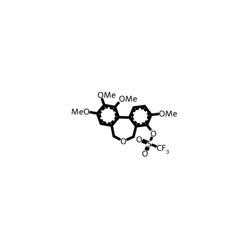 COc1ccc2c(c1OS(=O)(=O)C(F)(F)F)COCc1cc(OC)c(OC)c(OC)c1-2